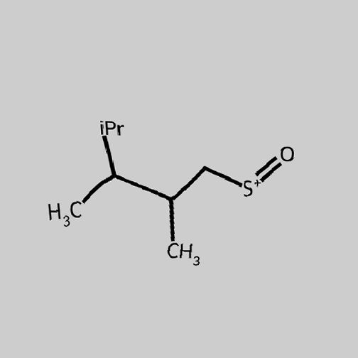 CC(C)C(C)C(C)C[S+]=O